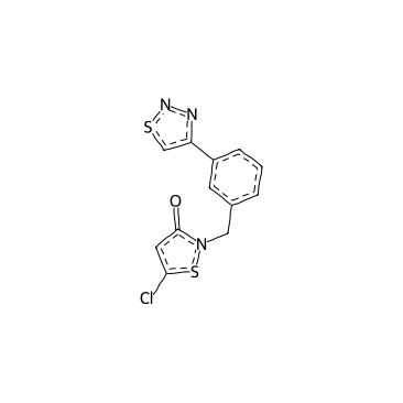 O=c1cc(Cl)sn1Cc1cccc(-c2csnn2)c1